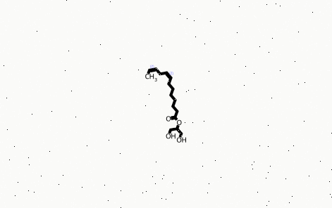 C/C=C\C/C=C\CCCCCCC(=O)OC(CO)CO